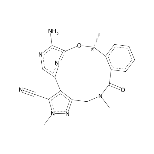 C[C@H]1Oc2nc(cnc2N)-c2c(nn(C)c2C#N)CN(C)C(=O)c2ccccc21